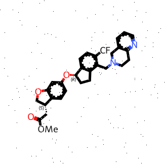 COC(=O)C[C@@H]1COc2cc(O[C@@H]3CCc4c3ccc(C(F)(F)F)c4CN3CCc4ncccc4C3)ccc21